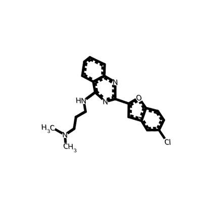 CN(C)CCCNc1nc(-c2cc3cc(Cl)ccc3o2)nc2ccccc12